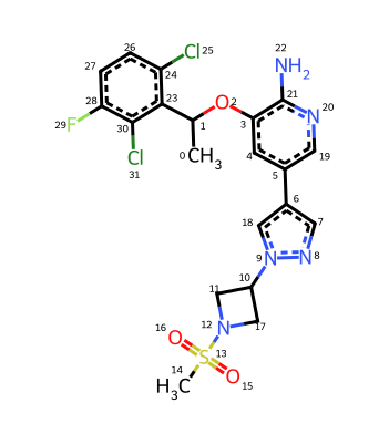 CC(Oc1cc(-c2cnn(C3CN(S(C)(=O)=O)C3)c2)cnc1N)c1c(Cl)ccc(F)c1Cl